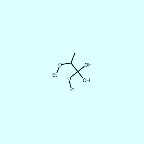 CCOC(C)C(O)(O)OCC